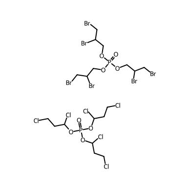 O=P(OC(Cl)CCCl)(OC(Cl)CCCl)OC(Cl)CCCl.O=P(OCC(Br)CBr)(OCC(Br)CBr)OCC(Br)CBr